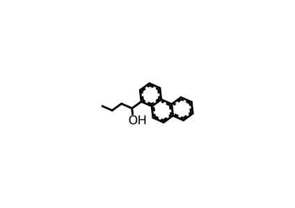 CCCC(O)c1cccc2c1ccc1ccccc12